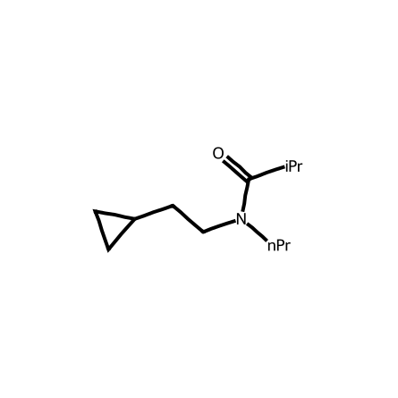 CCCN(CCC1CC1)C(=O)C(C)C